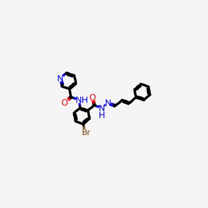 O=C(Nc1ccc(Br)cc1C(=O)N/N=C/C=C/c1ccccc1)c1cccnc1